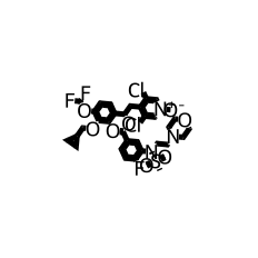 CS(=O)(=O)N(CCN1CCOCC1)c1cc(C(=O)OC(Cc2c(Cl)c[n+]([O-])cc2Cl)c2ccc(OC(F)F)c(OCC3CC3)c2)ccc1F